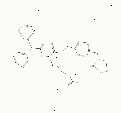 N=C(N)NCCC[C@@H](NC(=O)C(c1ccccc1)c1ccccc1)C(=O)NCc1ccc(CN2CCNC2=O)cc1